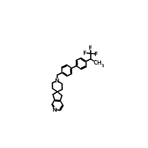 CC(c1ccc(-c2ccc(CN3CCC4(CC3)Cc3ccncc3C4)cc2)cc1)C(F)(F)F